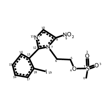 CS(=O)(=O)OCCn1c([N+](=O)[O-])cnc1-c1ccccc1I